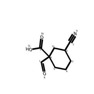 N#CC1CCCC(C=O)(C(=O)O)C1